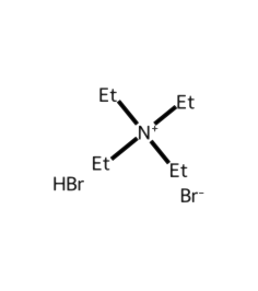 Br.CC[N+](CC)(CC)CC.[Br-]